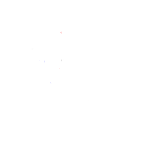 CC(C)c1cc(O)cc(C(C)C)c1NC(=O)CN1CCN(CCSc2nc3cccc(C(F)(F)F)c3o2)CC1